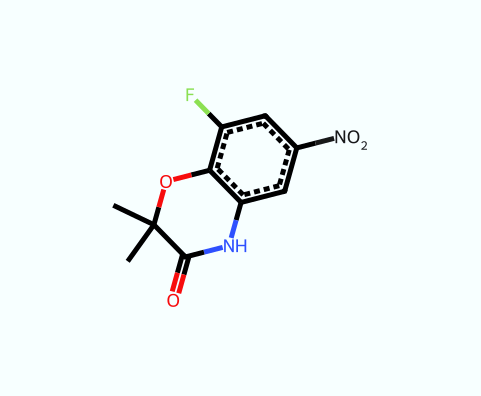 CC1(C)Oc2c(F)cc([N+](=O)[O-])cc2NC1=O